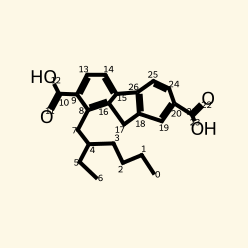 CCCCC(CC)Cc1c(C(=O)O)ccc2c1Cc1cc(C(=O)O)ccc1-2